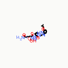 CC(C)COc1cccc2nc(Cn3cccc(NC(=O)C(CC/C=C/C(N)=O)NC(=O)O)c3=O)[nH]c12